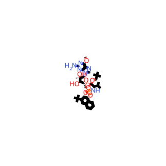 COc1nc(N)nc2c1ncn2C1O[C@H](COP(=O)(N[C@H](C(=O)OCC(C)(C)C)C(C)C)Oc2cc(C(C)(C)C)cc3ccccc23)[C@@H](O)[C@@]1(C)O